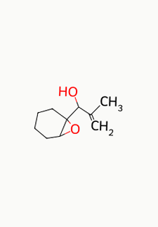 C=C(C)C(O)C12CCCCC1O2